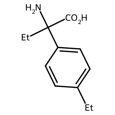 CCc1ccc(C(N)(CC)C(=O)O)cc1